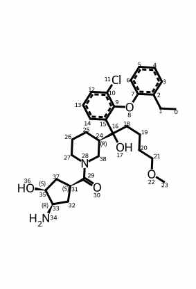 CCc1ccccc1Oc1c(Cl)cccc1C(O)(CCCCOC)[C@@H]1CCCN(C(=O)[C@H]2C[C@@H](N)[C@@H](O)C2)C1